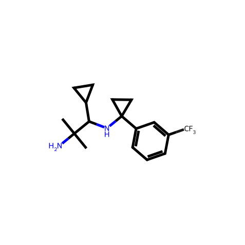 CC(C)(N)C(NC1(c2cccc(C(F)(F)F)c2)CC1)C1CC1